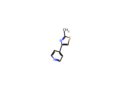 Cc1nc(-c2ccncc2)cs1